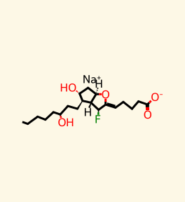 CCCCC[C@H](O)CC[C@@H]1[C@H]2[C@H](F)/C(=C/CCCC(=O)[O-])O[C@@H]2C[C@H]1O.[Na+]